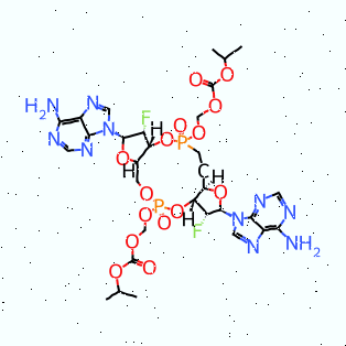 CC(C)OC(=O)OCOP1(=O)CC[C@H]2O[C@@H](n3cnc4c(N)ncnc43)[C@H](F)[C@@H]2OP(=O)(OCOC(=O)OC(C)C)OC[C@H]2O[C@@H](n3cnc4c(N)ncnc43)[C@H](F)[C@@H]2O1